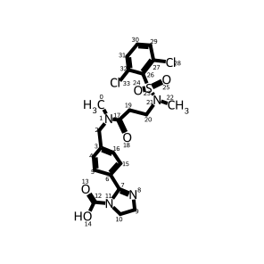 CN(Cc1ccc(C2=NCCN2C(=O)O)cc1)C(=O)CCN(C)S(=O)(=O)c1c(Cl)cccc1Cl